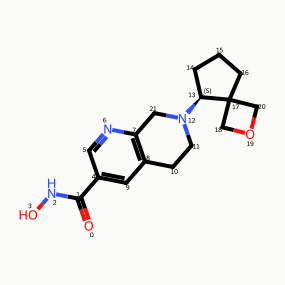 O=C(NO)c1cnc2c(c1)CCN([C@H]1CCCC13COC3)C2